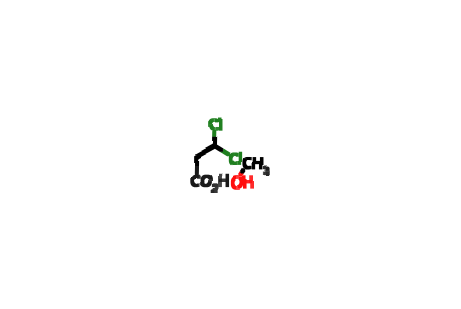 CO.O=C(O)CC(Cl)Cl